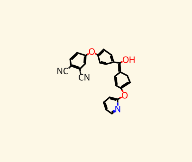 N#Cc1ccc(Oc2ccc(C(O)=C3C=CC(Oc4ccccn4)=CC3)cc2)cc1C#N